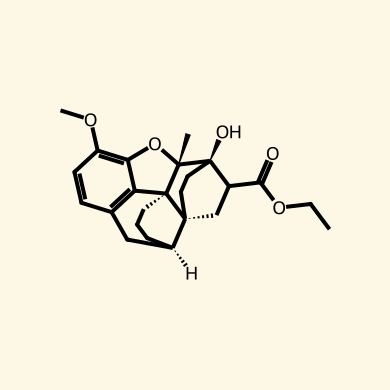 CCOC(=O)C1C[C@@]23CC[C@]1(O)[C@@]1(C)Oc4c(OC)ccc5c4[C@]21CCC[C@@H]3C5